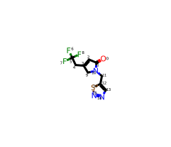 O=C1C=C(CC(F)(F)F)CN1Cc1cnns1